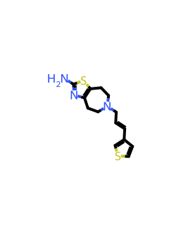 Nc1nc2c(s1)CCN(CC=Cc1ccsc1)CC2